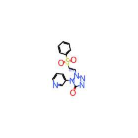 O=c1nnn(/C=C/S(=O)(=O)c2ccccc2)n1-c1cccnc1